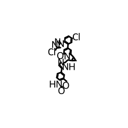 O=C1Nc2ccc(-c3cnc(C4C5CC5c5cc(-c6cc(Cl)ccc6-n6cc(Cl)nn6)cc(=O)n54)[nH]3)cc2CO1